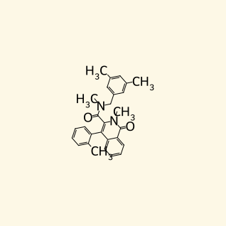 Cc1cc(C)cc(CN(C)C(=O)c2c(-c3ccccc3C)c3ccccc3c(=O)n2C)c1